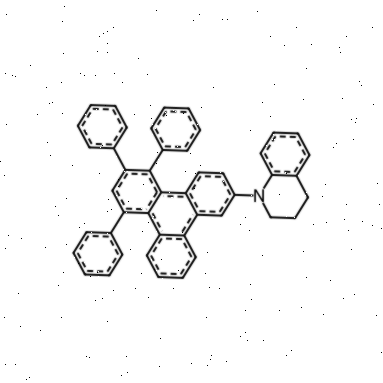 c1ccc(-c2cc(-c3ccccc3)c3c4ccccc4c4cc(N5CCCc6ccccc65)ccc4c3c2-c2ccccc2)cc1